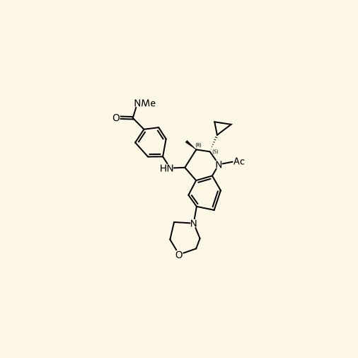 CNC(=O)c1ccc(NC2c3cc(N4CCOCC4)ccc3N(C(C)=O)[C@@H](C3CC3)[C@@H]2C)cc1